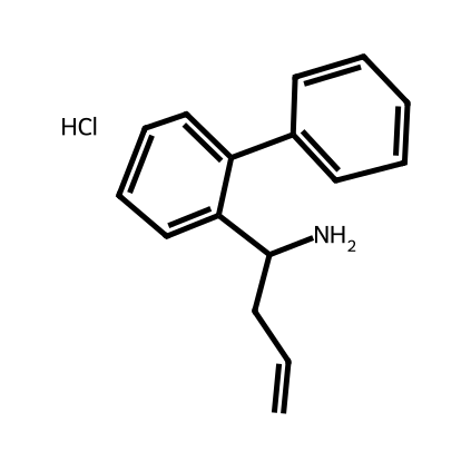 C=CCC(N)c1ccccc1-c1ccccc1.Cl